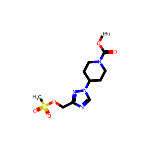 CC(C)(C)OC(=O)N1CCC(n2cnc(COS(C)(=O)=O)n2)CC1